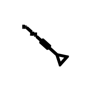 [Br][Mg][C]#CC1CC1